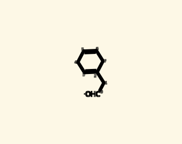 O=[C]CC1=CCC=CC1